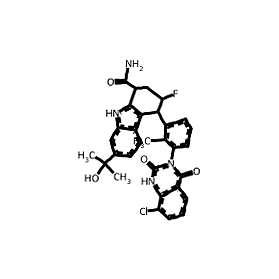 Cc1c(C2c3c([nH]c4cc(C(C)(C)O)ccc34)C(C(N)=O)CC2F)cccc1-n1c(=O)[nH]c2c(Cl)cccc2c1=O